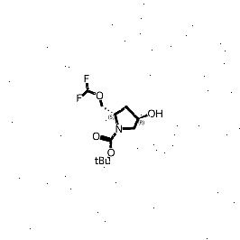 CC(C)(C)OC(=O)N1C[C@H](O)C[C@H]1COC(F)F